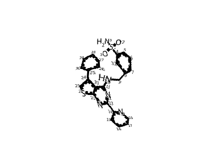 NS(=O)(=O)c1cccc(CNc2nc(-c3ccccn3)nc3scc(-c4ccccc4)c23)c1